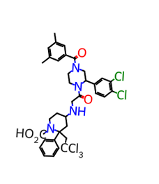 Cc1cc(C)cc(C(=O)N2CCN(C(=O)CNC3CCN(C(=O)O)C(CC(Cl)(Cl)Cl)(c4ccccc4)C3)C(c3ccc(Cl)c(Cl)c3)C2)c1